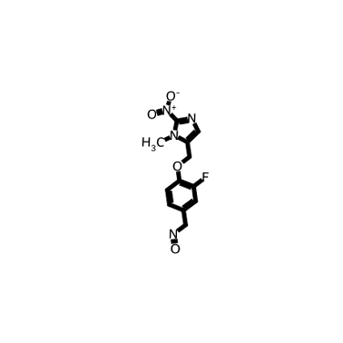 Cn1c(COc2ccc(CN=O)cc2F)cnc1[N+](=O)[O-]